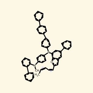 C/C=C\C=C/c1cc2cc(-c3ccccc3)cc(N(c3ccc(-c4ccc(-c5ccccc5)cc4)cc3)c3ccc(N(C)c4ccccc4-c4ccccc4)cc3)c2o1